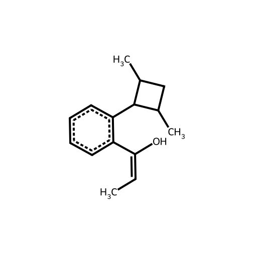 C/C=C(/O)c1ccccc1C1C(C)CC1C